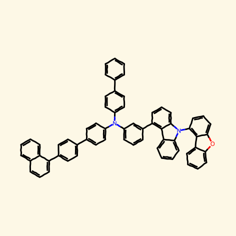 c1ccc(-c2ccc(N(c3ccc(-c4ccc(-c5cccc6ccccc56)cc4)cc3)c3cccc(-c4cccc5c4c4ccccc4n5-c4cccc5oc6ccccc6c45)c3)cc2)cc1